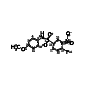 COc1ccc(NS(=O)(=O)c2ccc(F)c([N+](=O)[O-])c2)cc1